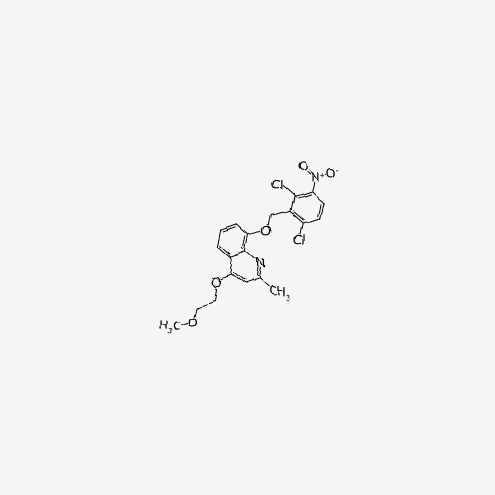 COCCOc1cc(C)nc2c(OCc3c(Cl)ccc([N+](=O)[O-])c3Cl)cccc12